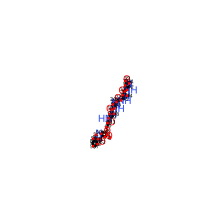 COc1cc2c(cc1OCCCC(=O)Nc1cc(C(=O)Nc3cn(C)c(C(=O)Nc4cc(C(=O)Nc5cc(C=O)n(C)c5)n(C)c4)n3)n(C)c1)N=CC1Cc3ccccc3N1C2=O